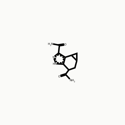 NC(=O)c1n[nH]c2c1C1CC1CC2C(N)=O